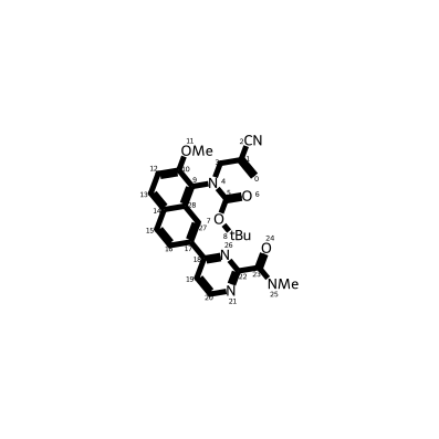 C=C(C#N)CN(C(=O)OC(C)(C)C)c1c(OC)ccc2ccc(-c3ccnc(C(=O)NC)n3)cc12